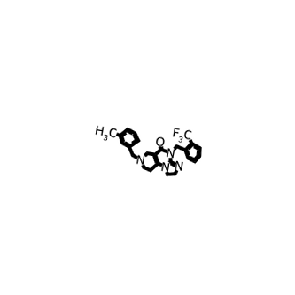 Cc1cccc(CN2CCC3=C(C2)C(=O)N(Cc2ccccc2C(F)(F)F)C2=NCCN23)c1